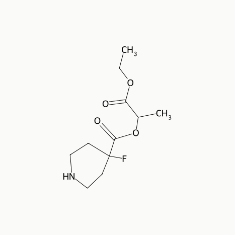 CCOC(=O)C(C)OC(=O)C1(F)CCNCC1